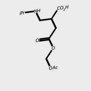 CC(=O)OCOC(=O)CC(CNC(C)C)C(=O)O